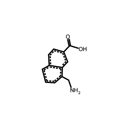 NCc1cccc2ccc(C(=O)O)cc12